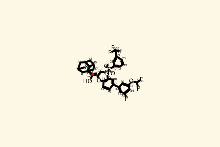 O=C(O)C12CC3CC(C1)N(C[C@H]1CN(S(=O)(=O)c4cccc(C(F)(F)F)c4)c4cc(-c5cc(F)cc(OC(F)F)c5)ccc4O1)C(C3)C2